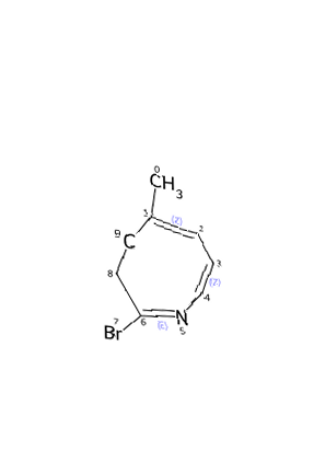 C/C1=C/C=C\N=C(\Br)CC1